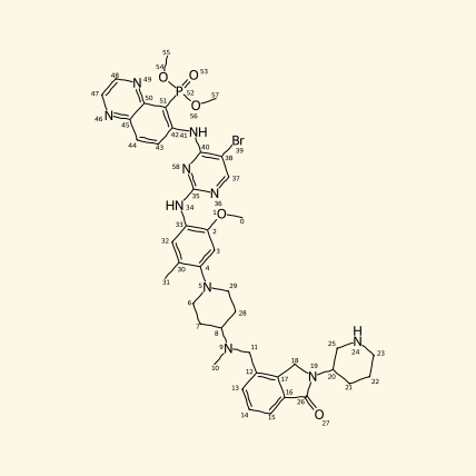 COc1cc(N2CCC(N(C)Cc3cccc4c3CN(C3CCCNC3)C4=O)CC2)c(C)cc1Nc1ncc(Br)c(Nc2ccc3nccnc3c2P(=O)(OC)OC)n1